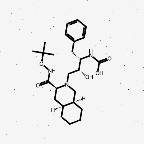 CC(C)(C)ONC(=O)[C@@H]1C[C@@H]2CCCC[C@@H]2CN1C[C@@H](O)[C@H](Cc1ccccc1)NC(=O)O